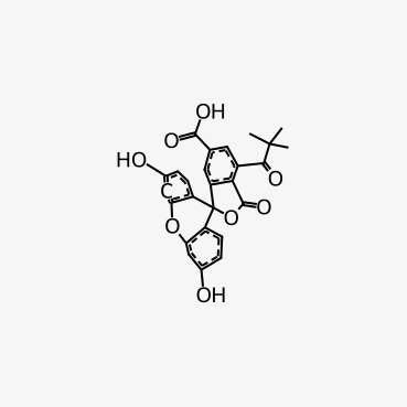 CC(C)(C)C(=O)c1cc(C(=O)O)cc2c1C(=O)OC21c2ccc(O)cc2Oc2cc(O)ccc21